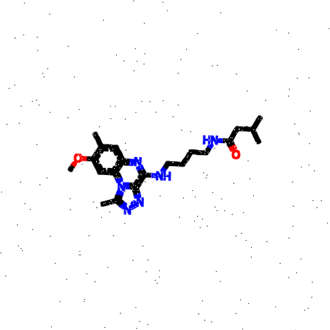 COc1cc2c(cc1C)nc(NCCCCNC(=O)CC(C)C)c1nnc(C)n12